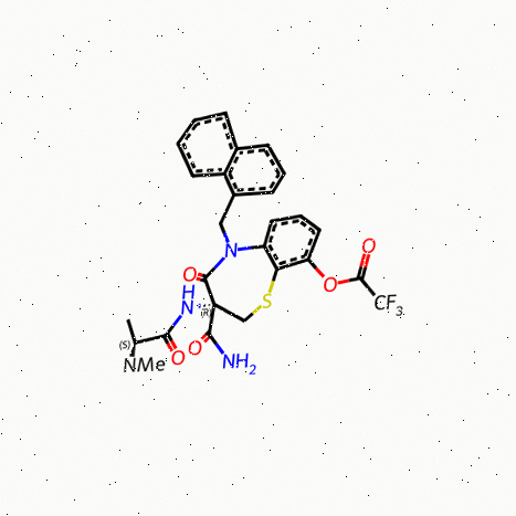 CN[C@@H](C)C(=O)N[C@@]1(C(N)=O)CSc2c(OC(=O)C(F)(F)F)cccc2N(Cc2cccc3ccccc23)C1=O